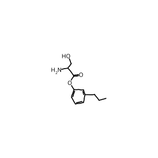 CCCc1cccc(OC(=O)C(N)CO)c1